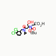 CC(C)(C)OC(=O)N(CCC(=O)O)C(CO)CC(=O)N(Cc1cccc(Cl)c1Cl)C1CC1